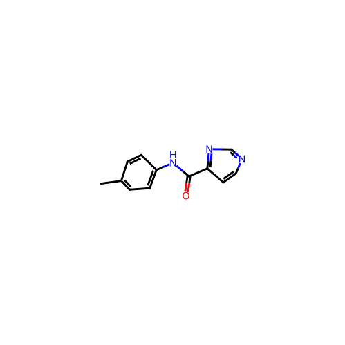 Cc1ccc(NC(=O)c2ccncn2)cc1